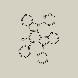 c1ccc(-n2c3ccccc3c3c4c(c5ccccc5n4-c4ccccn4)c4oc5ccccc5c4c32)cc1